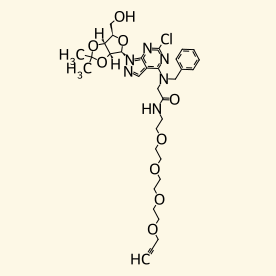 C#CCOCCOCCOCCOCCNC(=O)CN(Cc1ccccc1)c1nc(Cl)nc2c1cnn2[C@@H]1O[C@H](CO)[C@H]2OC(C)(C)O[C@H]21